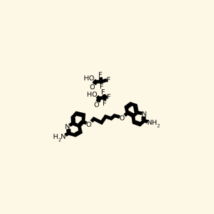 Nc1ccc2c(OCCCCCOc3cccc4nc(N)ccc34)cccc2n1.O=C(O)C(F)(F)F.O=C(O)C(F)(F)F